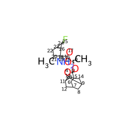 CC(OC(=O)C12CC3CC(CC(C3)C1)C2)OC(=O)C1(N)C(C)CC2C(F)C21